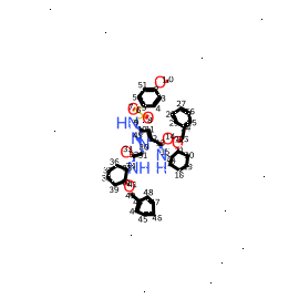 COc1ccc(S(=O)(=O)Nc2cc(C(=O)N[C@H]3CCCC[C@@H]3OCc3ccccc3)n(CC(=O)N[C@H]3CCCC[C@@H]3OCc3ccccc3)n2)cc1